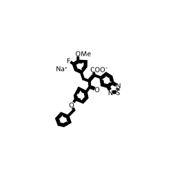 COc1ccc(CC(C(=O)c2ccc(OCc3ccccc3)cc2)=C(C(=O)[O-])c2ccc3nsnc3c2)cc1F.[Na+]